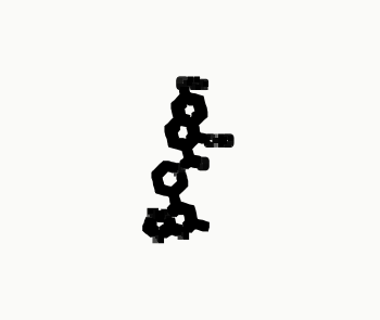 COc1ccc2c(C=O)c(C(=O)N3CCCC(c4cc(C)nc5ncnn45)C3)ccc2c1